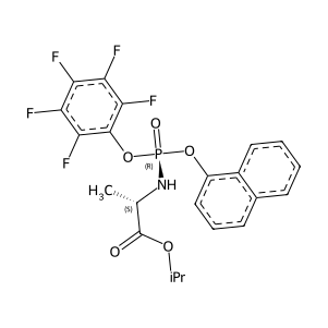 CC(C)OC(=O)[C@H](C)N[P@](=O)(Oc1c(F)c(F)c(F)c(F)c1F)Oc1cccc2ccccc12